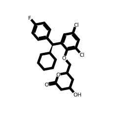 O=C1CC(O)CC(COc2c(Cl)cc(Cl)cc2[C@H](c2ccc(F)cc2)C2CCCCC2)O1